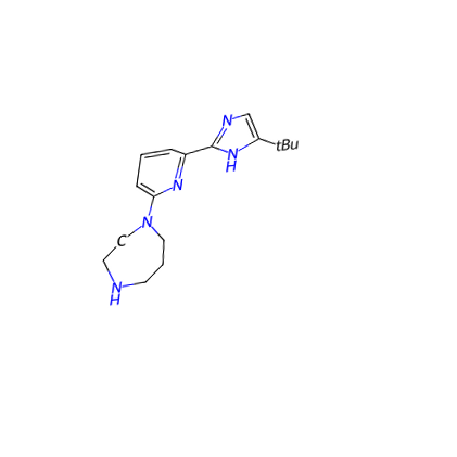 CC(C)(C)c1cnc(-c2cccc(N3CCCNCC3)n2)[nH]1